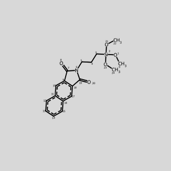 CO[Si](CCCN1C(=O)c2cc3ccccc3cc2C1=O)(OC)OC